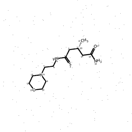 C[C@@H]([CH]C(=S)NCCN1CCOCC1)CC(N)=O